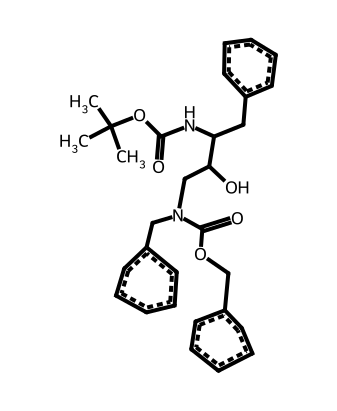 CC(C)(C)OC(=O)NC(Cc1ccccc1)C(O)CN(Cc1ccccc1)C(=O)OCc1ccccc1